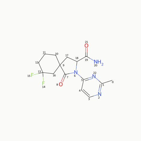 Cc1nccc(N2C(=O)C3(C[CH]CC(F)(F)C3)CC2C(N)=O)n1